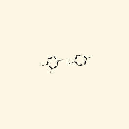 Nc1ccc(OCc2ccc(Cl)nc2)cc1Cl